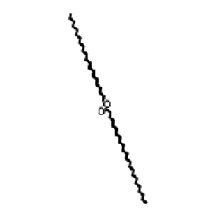 CCCCCCCCCCCCCCCCCCCCCCCC(=O)OCCCCCCCCCCCCCCCCCCCCCC